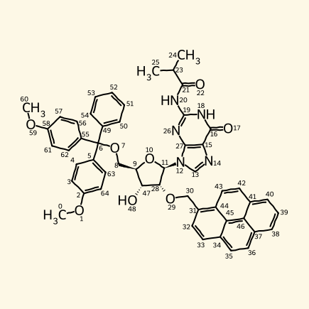 COc1ccc(C(OC[C@H]2O[C@@H](n3cnc4c(=O)[nH]c(NC(=O)C(C)C)nc43)[C@H](OCc3ccc4ccc5cccc6ccc3c4c56)[C@@H]2O)(c2ccccc2)c2ccc(OC)cc2)cc1